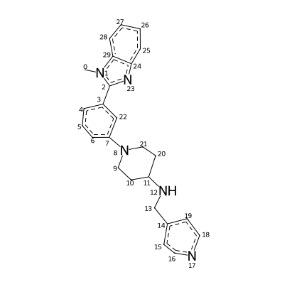 Cn1c(-c2cccc(N3CCC(NCc4ccncc4)CC3)c2)nc2ccccc21